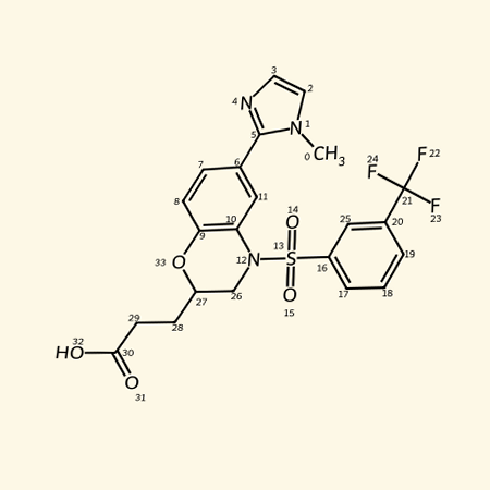 Cn1ccnc1-c1ccc2c(c1)N(S(=O)(=O)c1cccc(C(F)(F)F)c1)CC(CCC(=O)O)O2